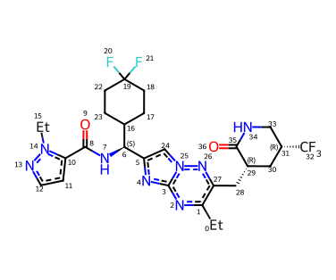 CCc1nc2nc([C@@H](NC(=O)c3ccnn3CC)C3CCC(F)(F)CC3)cn2nc1C[C@H]1C[C@@H](C(F)(F)F)CNC1=O